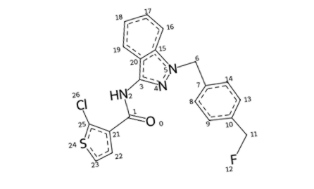 O=C(Nc1nn(Cc2ccc(CF)cc2)c2ccccc12)c1ccsc1Cl